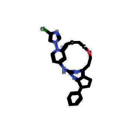 Clc1cn(N2C=CC3=C/C2=C/CCCOCCc2nc(nc4c2CCC4c2ccccc2)N3)cn1